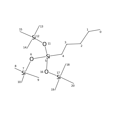 CCCCC[Si](O[Si](C)(C)C)(O[Si](C)(C)C)O[Si](C)(C)C